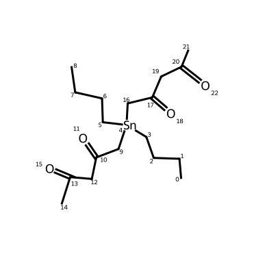 CCC[CH2][Sn]([CH2]CCC)([CH2]C(=O)CC(C)=O)[CH2]C(=O)CC(C)=O